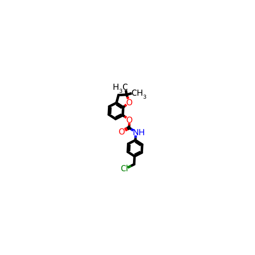 CC1(C)Cc2cccc(OC(=O)Nc3ccc(CCl)cc3)c2O1